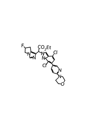 CCOC(=O)C(c1ncn2c1CC(F)C2)n1cc2c(Cl)cc(-c3ccc(N4CCOCC4)nc3)c(Cl)c2n1